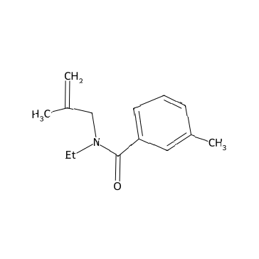 C=C(C)CN(CC)C(=O)c1cccc(C)c1